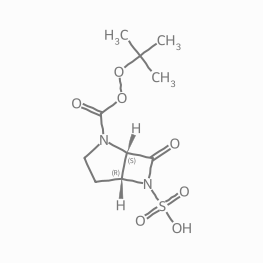 CC(C)(C)OOC(=O)N1CC[C@@H]2[C@H]1C(=O)N2S(=O)(=O)O